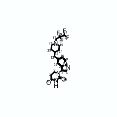 O=C1CCN(c2cnn3ccc(CC4CCN(CC(F)(F)C(F)F)CC4)cc23)C(=O)N1